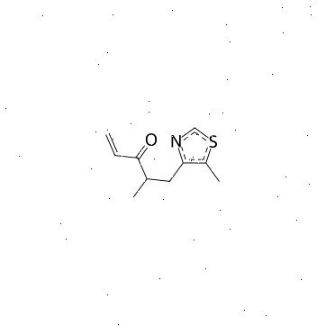 C=CC(=O)C(C)Cc1ncsc1C